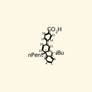 CCCCCC1(c2ccccc2C[C@@H](C)CC)C=CC(c2ccc(C(=O)O)cc2)C=C1